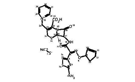 N#C[S-].Nc1nc(C(=NOC2C=CCC2)C(=O)NC2C(=O)N3C(C(=O)O)=C(C[n+]4ccccc4)CS[C@H]23)ns1